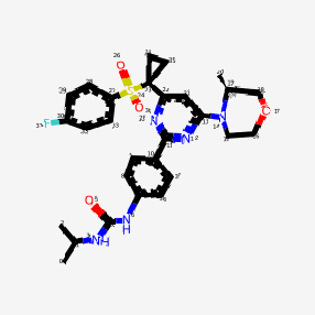 CC(C)NC(=O)Nc1ccc(-c2nc(N3CCOC[C@@H]3C)cc(C3(S(=O)(=O)c4ccc(F)cc4)CC3)n2)cc1